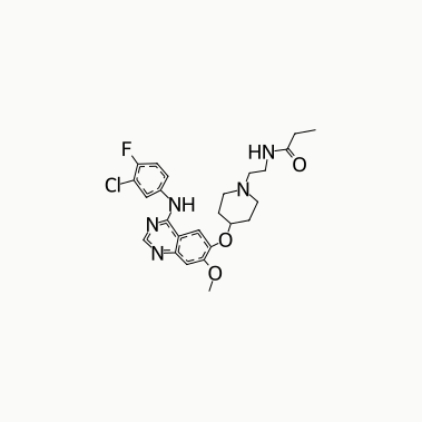 CCC(=O)NCCN1CCC(Oc2cc3c(Nc4ccc(F)c(Cl)c4)ncnc3cc2OC)CC1